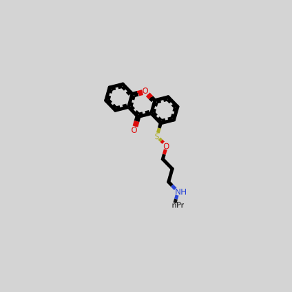 CCCNCCCOSc1cccc2oc3ccccc3c(=O)c12